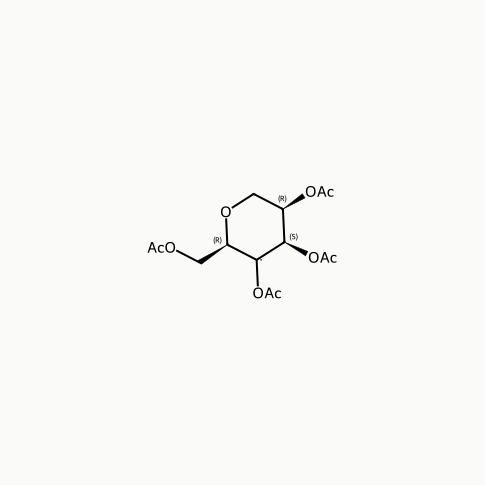 CC(=O)OC[C@H]1OC[C@@H](OC(C)=O)[C@@H](OC(C)=O)[C]1OC(C)=O